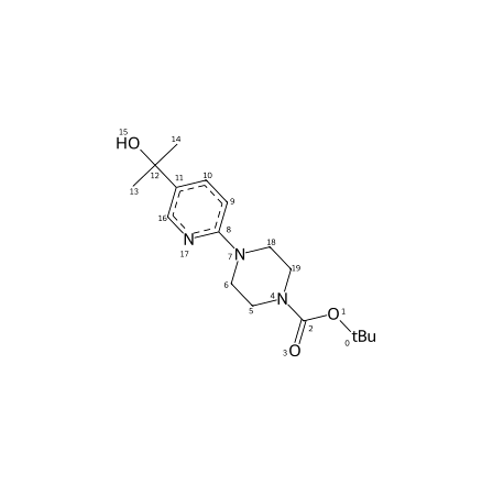 CC(C)(C)OC(=O)N1CCN(c2ccc(C(C)(C)O)cn2)CC1